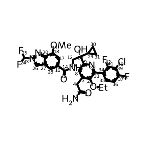 CCOc1c(CC(N)=O)cc([C@@](O)(CNC(=O)c2cc(OC)c3nn(C(F)F)cc3c2)C2CC2)nc1-c1ccc(F)c(Cl)c1F